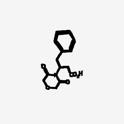 O=C(O)CC(Cc1ccccc1)N1C(=O)COCC1=O